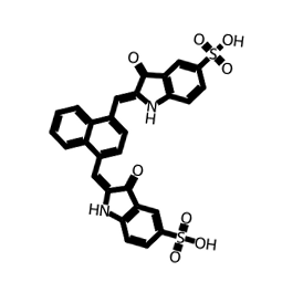 O=C1C(=Cc2ccc(C=C3Nc4ccc(S(=O)(=O)O)cc4C3=O)c3ccccc23)Nc2ccc(S(=O)(=O)O)cc21